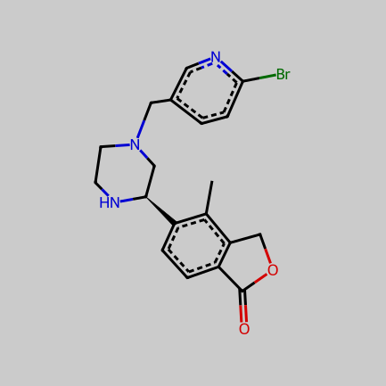 Cc1c([C@@H]2CN(Cc3ccc(Br)nc3)CCN2)ccc2c1COC2=O